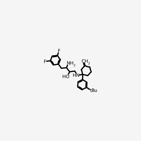 C=C1CCCC(NCC(O)C(N)Cc2cc(F)cc(F)c2)(c2cccc(C(C)(C)C)c2)C1